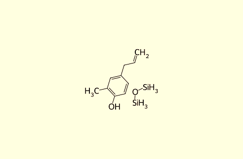 C=CCc1ccc(O)c(C)c1.[SiH3]O[SiH3]